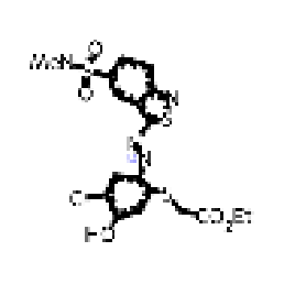 CCOC(=O)CSc1cc(O)c(Cl)cc1/N=N/c1snc2ccc(S(=O)(=O)NC)cc12